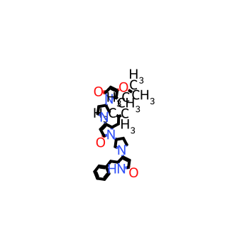 CC(C)CC1C(N2CCC(N3C(=O)C=C(OC(C)(C)C)C3C)C2)=CC(=O)N1C1CCN(C2=CC(=O)NC2Cc2ccccc2)C1